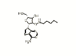 CCCCCNO[C@@H]1[C@H](O)[C@@H](CO)O[C@H]1n1cnc2c(N)ncnc21